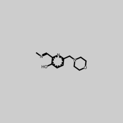 C/N=C/c1nc(CN2CCOCC2)ccc1O